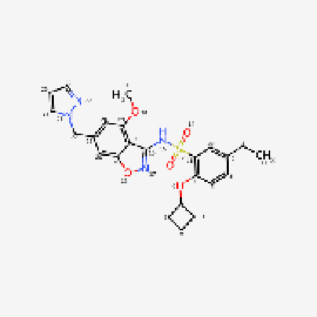 CCc1ccc(OC2CCC2)c(S(=O)(=O)Nc2noc3cc(Cn4cccn4)cc(OC)c23)c1